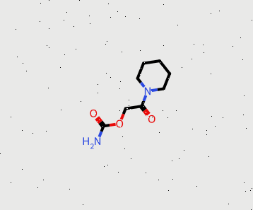 NC(=O)OCC(=O)N1CCCCC1